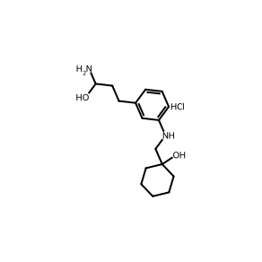 Cl.NC(O)CCc1cccc(NCC2(O)CCCCC2)c1